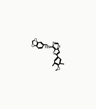 COc1c(C)cc(-c2cc3ncnc(NCc4ccc5c(c4)OCO5)c3s2)cc1C